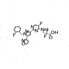 O=C(O)C(F)(F)CNc1nc(-c2cc(-c3ccon3)n(Cc3ccccc3F)n2)ncc1F